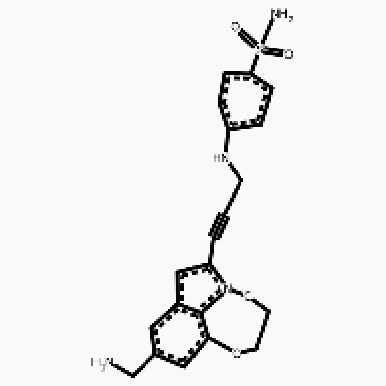 NCc1cc2c3c(c1)cc(C#CCNc1ccc(S(N)(=O)=O)cc1)n3CCCO2